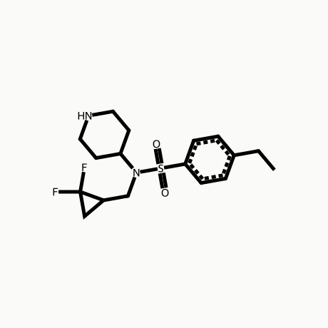 CCc1ccc(S(=O)(=O)N(CC2CC2(F)F)C2CCNCC2)cc1